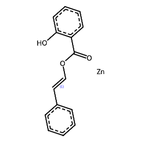 O=C(O/C=C/c1ccccc1)c1ccccc1O.[Zn]